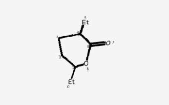 CCC1CCC(CC)C(=O)O1